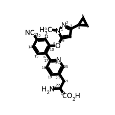 Cn1nc(C2CC2)cc1Oc1cc(C#N)ccc1-c1ccc(CC(N)C(=O)O)cn1